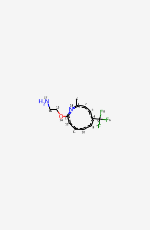 Cc1ccc(C(F)(F)F)ccccc(OCCN)n1